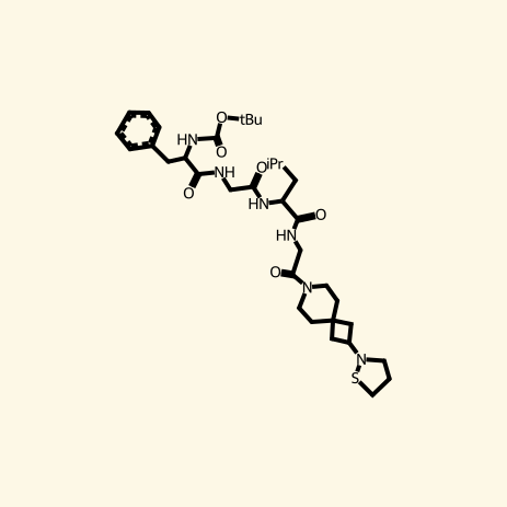 CC(C)CC(NC(=O)CNC(=O)C(Cc1ccccc1)NC(=O)OC(C)(C)C)C(=O)NCC(=O)N1CCC2(CC1)CC(N1CCCS1)C2